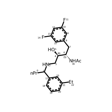 CCCC(NC[C@@H](O)[C@H](Cc1cc(F)cc(F)c1)NC(C)=O)c1cccc(CC)c1